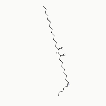 CCCCC=CCCCCCCCC(=O)OC(=O)CCCCCCC/C=C\CCCC